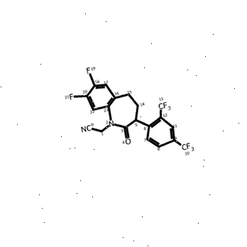 N#CCN1C(=O)C(c2ccc(C(F)(F)F)cc2C(F)(F)F)CCc2cc(F)c(F)cc21